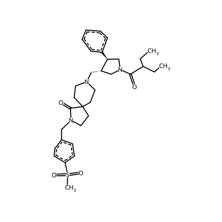 CCC(CC)C(=O)N1C[C@H](CN2CCC3(CC2)CCN(Cc2ccc(S(C)(=O)=O)cc2)C3=O)[C@@H](c2ccccc2)C1